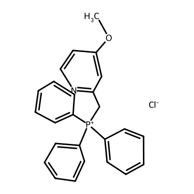 COc1ccnc(C[P+](c2ccccc2)(c2ccccc2)c2ccccc2)c1.[Cl-]